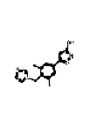 Cc1cc(-c2cc(O)no2)cc(C)c1Cn1ccnc1